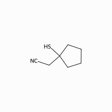 N#CCC1(S)CCCC1